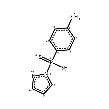 Cc1ccc(P(=S)(S)n2cccn2)cc1